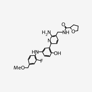 COCc1ccc(Nc2ccc(O)c(-c3ccc(CNC(=O)C4CCCO4)c(N)n3)c2)c(F)c1